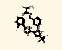 C[C@H](N)C(=O)NCc1cccc(-n2nc(C(F)(F)F)cc2-c2nnc(-c3ccccc3F)o2)c1